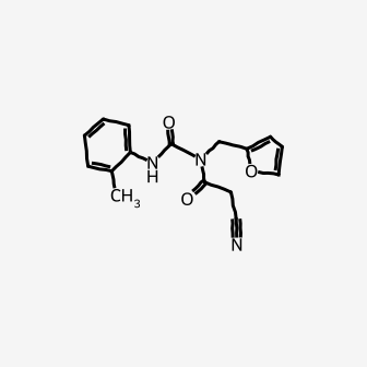 Cc1ccccc1NC(=O)N(Cc1ccco1)C(=O)CC#N